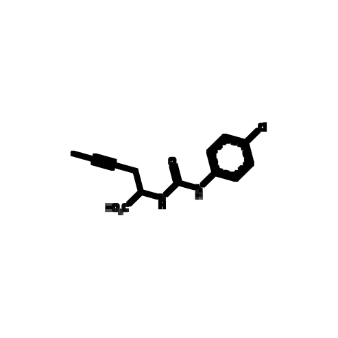 CC#CCC(NC(=O)Nc1ccc(Cl)cc1)C(=O)O